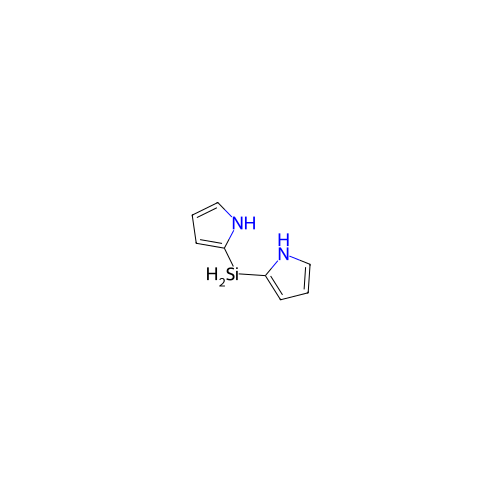 c1c[nH]c([SiH2]c2ccc[nH]2)c1